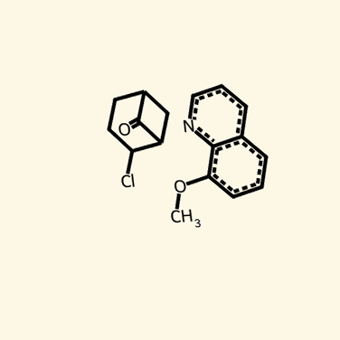 COc1cccc2cccnc12.O=C1C2CCC(Cl)C1C2